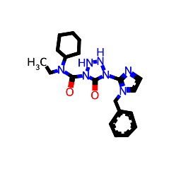 CCN(C(=O)N1NNN(c2nccn2Cc2ccccc2)C1=O)C1CCCCC1